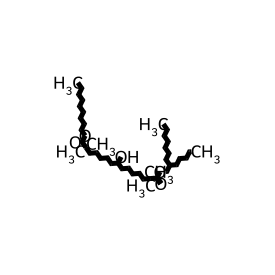 CCCCCCCCCOC(=O)C(C)(C)CCCCCC(O)CCCCCC(C)(C)C(=O)OCC(CCCCC)CCCCCCC